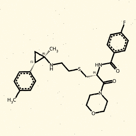 Cc1ccc([C@@H]2C[C@@]2(C)NCCSC[C@H](NC(=O)c2ccc(F)cc2)C(=O)N2CCOCC2)cc1